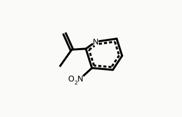 C=C(C)c1ncccc1[N+](=O)[O-]